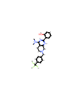 CN(C)c1nc(-c2ccccc2O)nc2c1CCN(Cc1ccc(C(F)(F)F)cc1)C2